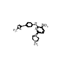 Cc1nc(-c2ccc(Nc3nc(N4CCN(C)CC4)ccc3[N+](=O)[O-])cc2)cs1